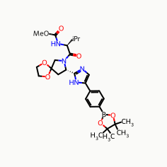 COC(=O)N[C@H](C(=O)N1CC2(C[C@H]1c1ncc(-c3ccc(B4OC(C)(C)C(C)(C)O4)cc3)[nH]1)OCCO2)C(C)C